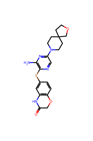 Nc1nc(N2CCC3(CCOC3)CC2)cnc1Sc1ccc2c(c1)NC(=O)CO2